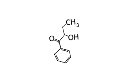 CCC(O)C(=O)c1ccccc1